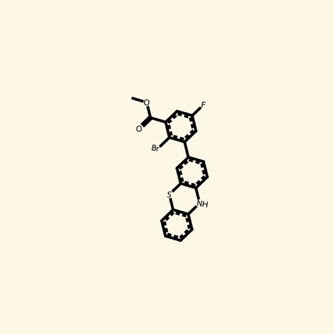 COC(=O)c1cc(F)cc(-c2ccc3c(c2)Sc2ccccc2N3)c1Br